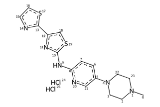 CN1CCN(c2ccc(Nc3nc(-c4nccs4)cs3)nc2)CC1.Cl.Cl